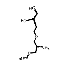 [CH2]CCCCCOCC(C)COCCC(O)CO